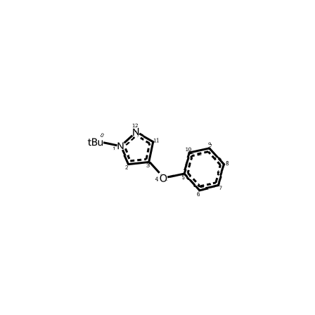 CC(C)(C)n1cc(Oc2ccccc2)cn1